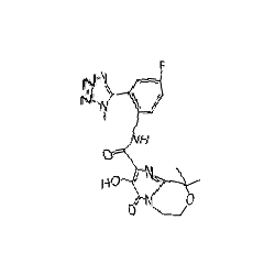 Cn1nnnc1-c1cc(F)ccc1CNC(=O)c1nc2n(c(=O)c1O)CCOC2(C)C